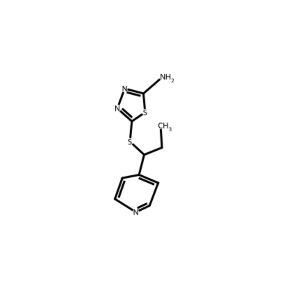 CCC(Sc1nnc(N)s1)c1ccncc1